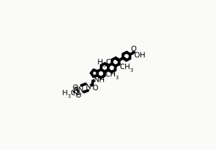 CC1C(C2=CCC(C(=O)O)CC2)=CCC2(C)C1CCC1(C)C3CCC4(NCC(=O)N5CCN(S(C)(=O)=O)CC5)CCCC4C3CCC21